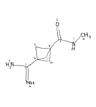 CNC(=O)C12CC(C(=N)N)(C1)C2